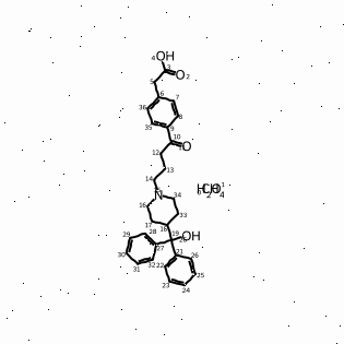 C.O.O=C(O)Cc1ccc(C(=O)CCCN2CCC(C(O)(c3ccccc3)c3ccccc3)CC2)cc1